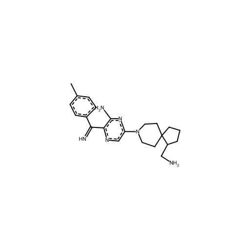 Cc1ccc(C(=N)c2ncc(N3CCC4(CCCC4CN)CC3)nc2N)cc1